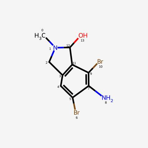 CN1Cc2cc(Br)c(N)c(Br)c2C1O